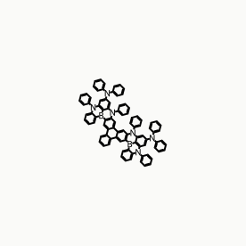 c1ccc(N(c2ccccc2)c2cc3c4c(c2)N(c2ccccc2)c2cc5c(cc2B4c2ccccc2N3c2ccccc2)c2ccccc2c2cc3c(cc25)N(c2ccccc2)c2cc(N(c4ccccc4)c4ccccc4)cc4c2B3c2ccccc2N4c2ccccc2)cc1